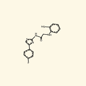 O=C(CNc1ccccc1S)Nc1nc(-c2ccc(F)cc2)cs1